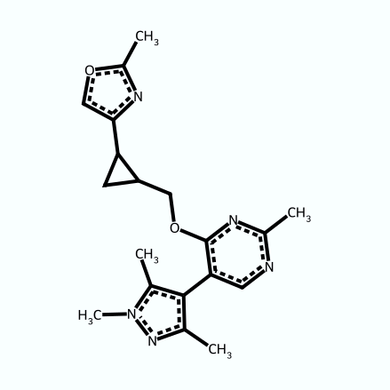 Cc1ncc(-c2c(C)nn(C)c2C)c(OCC2CC2c2coc(C)n2)n1